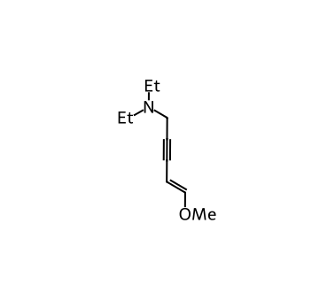 CCN(CC)CC#CC=COC